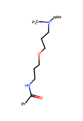 CNN(C)CCCOCCCNC(=O)C(C)C